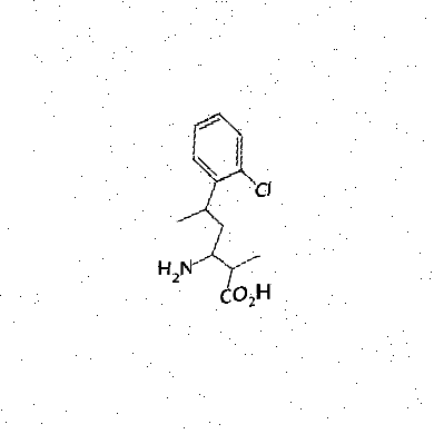 CC(CC(N)C(C)C(=O)O)c1ccccc1Cl